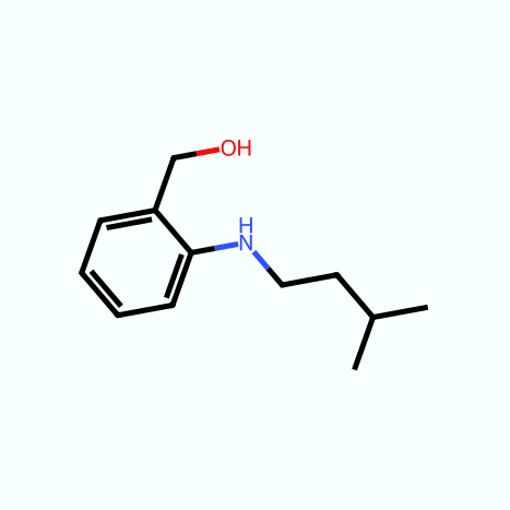 CC(C)CCNc1ccccc1CO